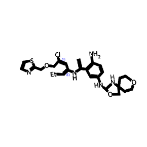 C=C(NC(/C=C(/Cl)COCc1nccs1)=C/CC)c1cc(NC2NC3(CCOCC3)CO2)ccc1N